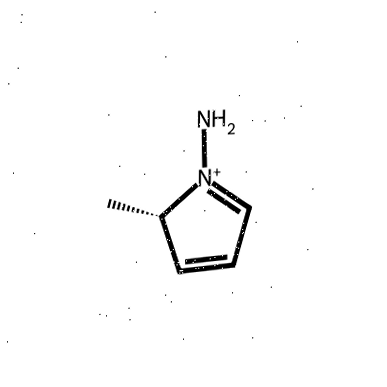 C[C@H]1C=CC=[N+]1N